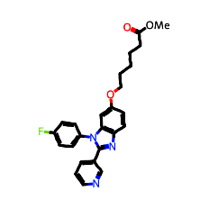 COC(=O)CCCCCOc1ccc2nc(-c3cccnc3)n(-c3ccc(F)cc3)c2c1